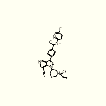 C=CC(=O)N1CCC[C@@H](n2nc(-c3ccc(C(=O)Nc4ccc(F)cn4)cc3)c3cncc(C#N)c32)C1